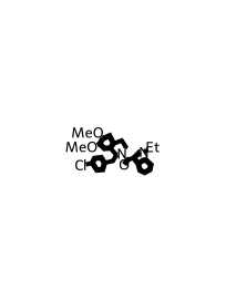 CCn1cc(C(=O)N2CCc3cc(OC)c(OC)cc3C2Cc2ccc(Cl)cc2)c2ccccc21